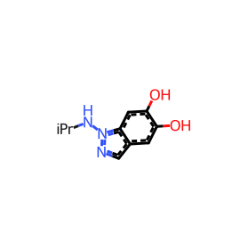 CC(C)Nn1ncc2cc(O)c(O)cc21